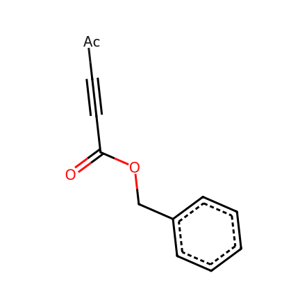 CC(=O)C#CC(=O)OCc1ccccc1